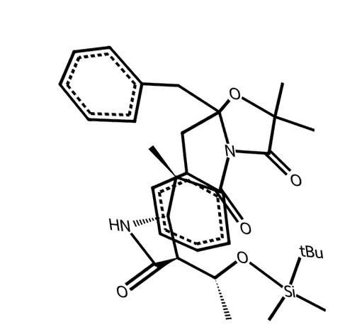 C[C@@H](O[Si](C)(C)C(C)(C)C)[C@H]1C(=O)N[C@@H]1[C@@H](C)C(=O)N1C(=O)C(C)(C)OC1(Cc1ccccc1)Cc1ccccc1